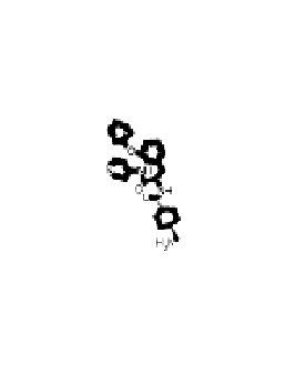 NC[C@H]1CC[C@H](C(=O)NC(Cc2cccc(Oc3ccccc3)c2)C(=O)Nc2ccncc2)CC1